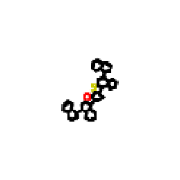 C1=C(c2cccc3ccccc23)c2ccccc2C2c3ccc4c(sc5cc(-c6cccc7ccccc67)c6ccccc6c54)c3OC12